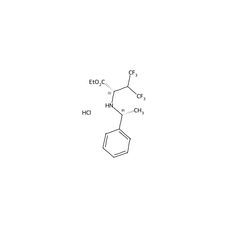 CCOC(=O)[C@@H](N[C@H](C)c1ccccc1)C(C(F)(F)F)C(F)(F)F.Cl